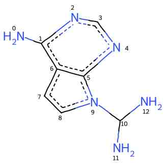 Nc1ncnc2c1ccn2C(N)N